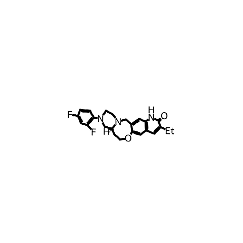 CCc1cc2cc3c(cc2[nH]c1=O)CN1CCN(c2ccc(F)cc2F)C[C@H]1CCO3